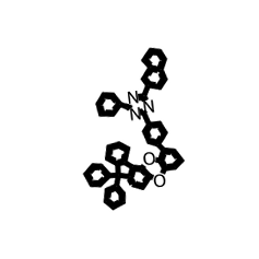 c1ccc(-c2nc(-c3ccc(-c4cccc5c4Oc4c(ccc6c4-c4ccccc4C6(c4ccccc4)c4ccccc4)O5)cc3)nc(-c3ccc4ccccc4c3)n2)cc1